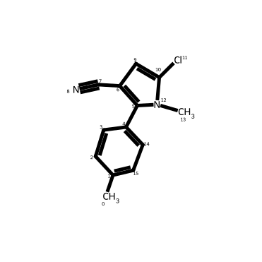 Cc1ccc(-c2c(C#N)cc(Cl)n2C)cc1